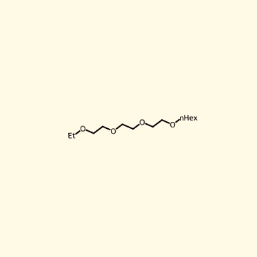 CCCCCCOCCOCCOCCOCC